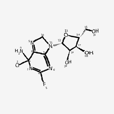 NC1(Cl)N=C(F)N=C2C1=NCN2[C@@H]1O[C@H](CO)[C@@H](O)[C@H]1O